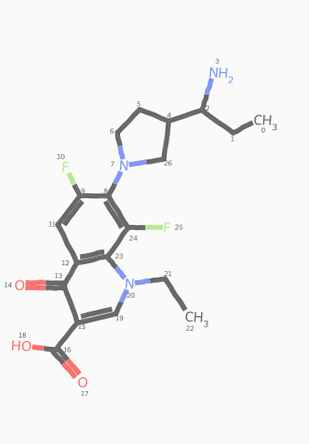 CCC(N)C1CCN(c2c(F)cc3c(=O)c(C(=O)O)cn(CC)c3c2F)C1